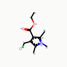 CCOC(=O)c1c(CCl)c(C)n(C)c1C